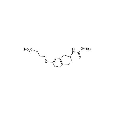 CC(C)(C)OC(=O)N[C@H]1CCc2ccc(OCCCC(=O)O)cc2C1